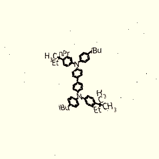 CCCC(C)(CC)c1ccc(N(c2ccc(-c3ccc(N(c4ccc(C(C)CC)cc4)c4ccc(C(C)(C)CC)cc4)cc3)cc2)c2ccc(C(C)CC)cc2)cc1